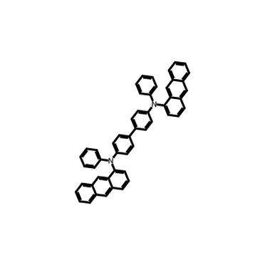 c1ccc(N(c2ccc(-c3ccc(N(c4ccccc4)c4cccc5cc6ccccc6cc45)cc3)cc2)c2cccc3cc4ccccc4cc23)cc1